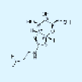 OC[C@H]1O[C@@H]2SC(NCCC(F)F)=N[C@@H]2[C@@H](O)[C@@H]1O